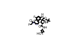 C=C(/C=C\C=C(\Cl)CF)[C@H]1[C@H](C(=O)N[C@H]2C[C@@](C)(O)C2)N[C@@H](CC(C)(C)C)[C@@]12C(=O)Nc1cc(F)c(F)cc12